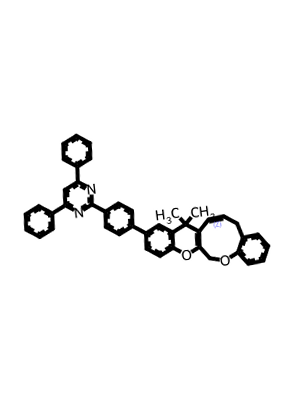 CC1(C)C2=C(COc3ccccc3C/C=C\2)Oc2ccc(-c3ccc(-c4nc(-c5ccccc5)cc(-c5ccccc5)n4)cc3)cc21